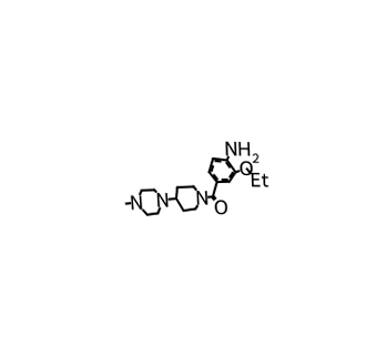 CCOc1cc(C(=O)N2CCC(N3CCN(C)CC3)CC2)ccc1N